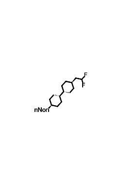 CCCCCCCCC[C@H]1CC[C@H]([C@H]2CC[C@H](CC(F)F)CC2)CC1